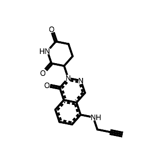 C#CCNc1cccc2c(=O)n(C3CCC(=O)NC3=O)ncc12